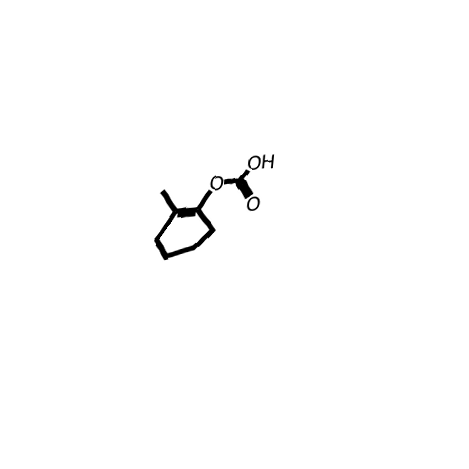 CC1=C(OC(=O)O)CCCC1